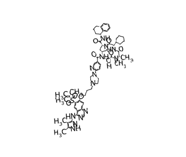 Cc1[nH]nc(Nc2ncnc3cc(OCCCN4CCN(c5ccc(C(=O)N[C@H]6C[C@@H](C(=O)N[C@@H]7CCCc8ccccc87)N(C(=O)[C@@H](NC(=O)[C@H](C)N(C)C(=O)O)C7CCCCC7)C6)cn5)CC4)c(S(=O)(=O)C(C)(C)C)cc23)c1C